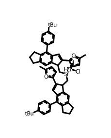 Cc1ccc(C2=Cc3c(cc4c(c3-c3ccc(C(C)(C)C)cc3)CCC4)C2C[SiH](CC2C(c3ccc(C)o3)=Cc3c2cc2c(c3-c3ccc(C(C)(C)C)cc3)CCC2)[Zr]([Cl])[Cl])o1